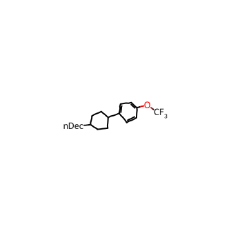 CCCCCCCCCCC1CCC(c2ccc(OC(F)(F)F)cc2)CC1